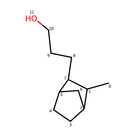 CC1C2CCC(C2)C1CCCO